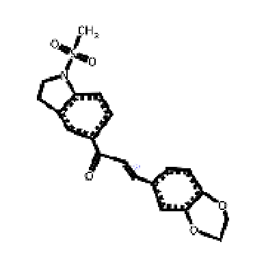 CS(=O)(=O)N1CCc2cc(C(=O)/C=C/c3ccc4c(c3)OCCO4)ccc21